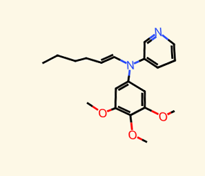 CCCCC=CN(c1cccnc1)c1cc(OC)c(OC)c(OC)c1